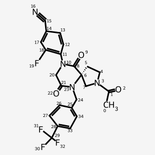 CC(=O)N1CC[C@@]2(C1)C(=O)N(c1ccc(C#N)cc1F)CC(=O)N2Cc1ccc(C(F)(F)F)cc1